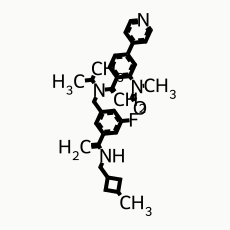 C=C(NCC1CC(C)C1)c1cc(F)cc(CN(C(=C)c2ccc(-c3ccncc3)cc2N(C)C=O)C(C)C)c1